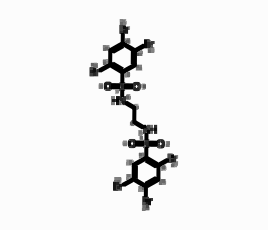 O=S(=O)(NCCNS(=O)(=O)c1cc(Br)c(Br)cc1Br)c1cc(Br)c(Br)cc1Br